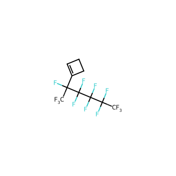 FC(F)(F)C(F)(F)C(F)(F)C(F)(F)C(F)(C1=CCC1)C(F)(F)F